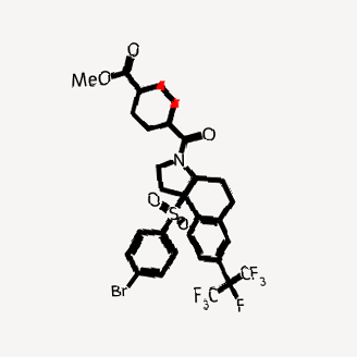 COC(=O)C12CCC(C(=O)N3CCC4(S(=O)(=O)c5ccc(Br)cc5)c5ccc(C(F)(C(F)(F)F)C(F)(F)F)cc5CCC34)(CC1)CC2